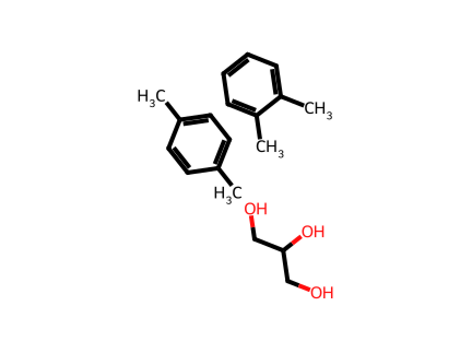 Cc1ccc(C)cc1.Cc1ccccc1C.OCC(O)CO